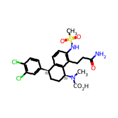 CN(C(=O)O)[C@H]1CC[C@@H](c2ccc(Cl)c(Cl)c2)c2ccc(NS(C)(=O)=O)c(CCC(N)=O)c21